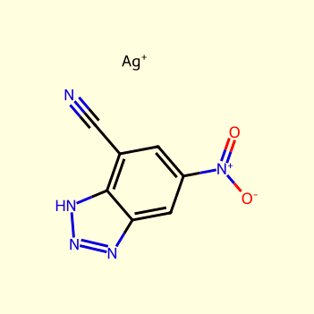 N#Cc1cc([N+](=O)[O-])cc2nn[nH]c12.[Ag+]